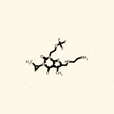 Cc1c(CNCCN)sc2c1c(=O)n(C1CC1C)c(=O)n2CCOC(F)(F)F